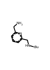 CC(C)(C)NCc1cccc(CN)n1